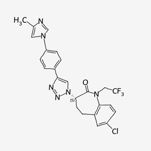 Cc1cn(-c2ccc(-c3cn([C@H]4CCc5cc(Cl)ccc5N(CC(F)(F)F)C4=O)nn3)cc2)cn1